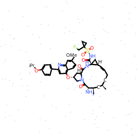 COc1ccc2c(O[C@@H]3C[C@H]4C(=O)N[C@]5(C(=O)NS(=O)(=O)C6(CF)CC6)C[C@H]5/C=C\CC[C@@H](C)C[C@@H](C)[C@H](N)C(=O)N4C3)cc(-c3ccc(OC(C)C)cc3)nc2c1